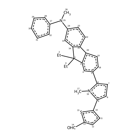 CCC1(CC)c2cc(-c3ccc(-c4ccc(C=O)s4)n3C)ccc2-c2ccc(N(C)c3ccccc3)cc21